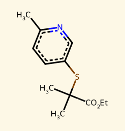 CCOC(=O)C(C)(C)Sc1ccc(C)nc1